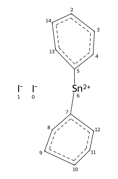 [I-].[I-].c1cc[c]([Sn+2][c]2ccccc2)cc1